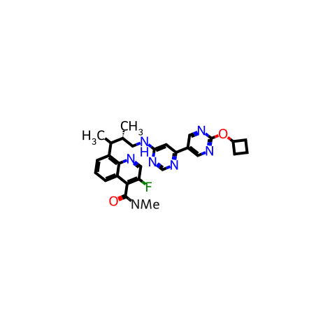 CNC(=O)c1c(F)cnc2c(C(C)[C@H](C)CNc3cc(-c4cnc(OC5CCC5)nc4)ncn3)cccc12